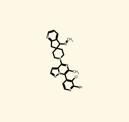 C=NC1c2cccnc2CC12CCN(c1nc(C)c(-c3ccnc(C(C)C)c3Cl)n3nccc13)CC2